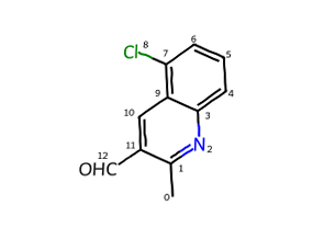 Cc1nc2cccc(Cl)c2cc1C=O